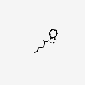 CCCCC(O)n1nnc2ccccc21